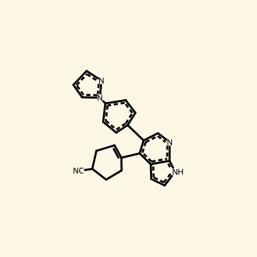 N#CC1CC=C(c2c(-c3ccc(-n4cccn4)cc3)cnc3[nH]ccc23)CC1